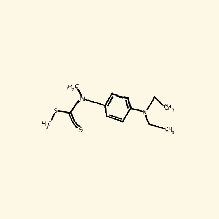 CCN(CC)c1ccc(N(C)C(=S)SC)cc1